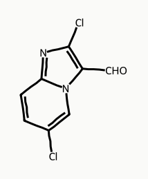 O=Cc1c(Cl)nc2ccc(Cl)cn12